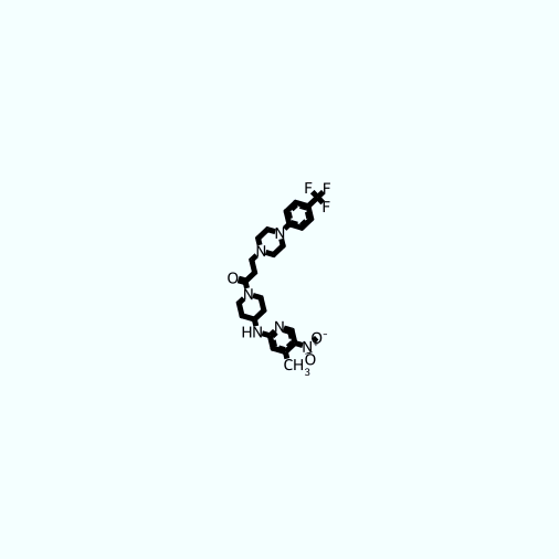 Cc1cc(NC2CCN(C(=O)CCN3CCN(c4ccc(C(F)(F)F)cc4)CC3)CC2)ncc1[N+](=O)[O-]